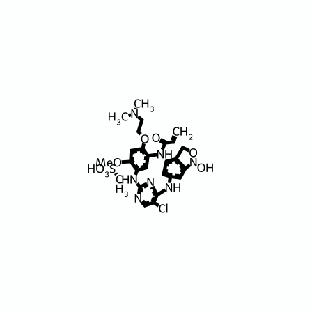 C=CC(=O)Nc1cc(Nc2ncc(Cl)c(Nc3ccc4c(c3)N(O)OC4)n2)c(OC)cc1OCCN(C)C.CS(=O)(=O)O